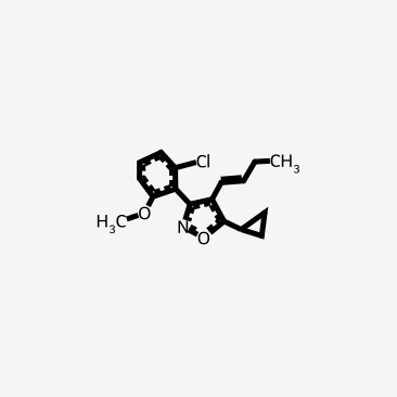 CC/C=C/c1c(-c2c(Cl)cccc2OC)noc1C1CC1